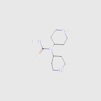 NC(=O)N(C1CCNCC1)C1CCNCC1